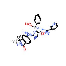 CC1(C)NC(=O)c2ccc(Nc3ncc(-c4nc(-c5cccnc5)no4)c(N[C@H](CO)c4ccccc4)n3)cc21